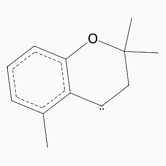 Cc1cccc2c1[C]CC(C)(C)O2